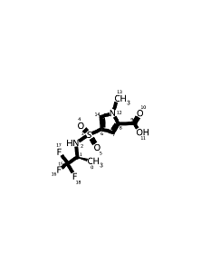 C[C@H](NS(=O)(=O)c1cc(C(=O)O)n(C)c1)C(F)(F)F